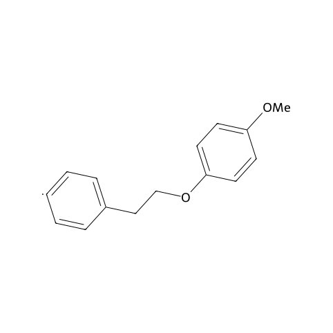 COc1ccc(OCCc2cc[c]cc2)cc1